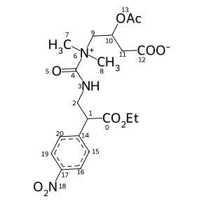 CCOC(=O)C(CNC(=O)[N+](C)(C)CC(CC(=O)[O-])OC(C)=O)c1ccc([N+](=O)[O-])cc1